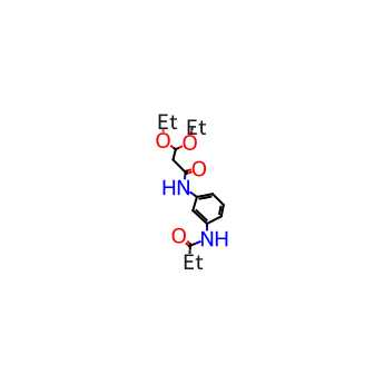 CCOC(CC(=O)Nc1cccc(NC(=O)CC)c1)OCC